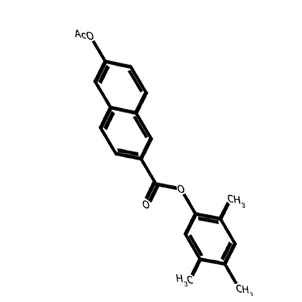 CC(=O)Oc1ccc2cc(C(=O)Oc3cc(C)c(C)cc3C)ccc2c1